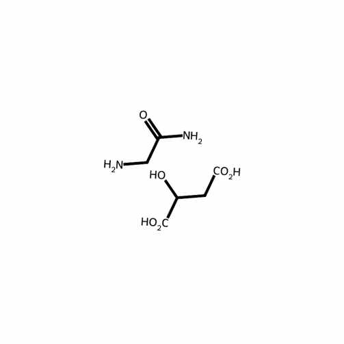 NCC(N)=O.O=C(O)CC(O)C(=O)O